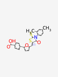 Cc1ccc(N2C(=O)/C(=C/c3ccc(-c4ccc(C(=O)O)cc4)o3)SC2=S)c(C)c1